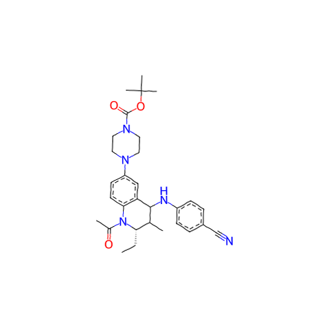 CC[C@H]1C(C)C(Nc2ccc(C#N)cc2)c2cc(N3CCN(C(=O)OC(C)(C)C)CC3)ccc2N1C(C)=O